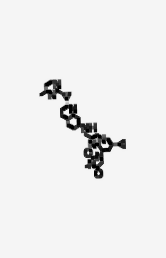 Cc1ccnc([C@H]2C[C@@H]2c2ccc3ccc(NCc4cn5cc(C6CC6)cc(N6CC(=O)N(C)C6=O)c5n4)cc3n2)n1